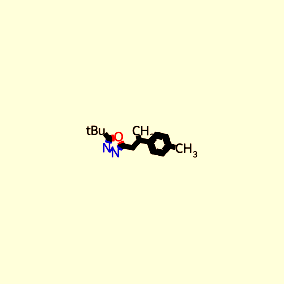 Cc1ccc(C(C)Cc2nnc(C(C)(C)C)o2)cc1